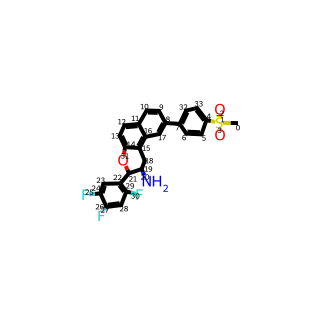 CS(=O)(=O)c1ccc(-c2ccc3ccc4c(c3c2)CC(N)C(c2cc(F)c(F)cc2F)O4)cc1